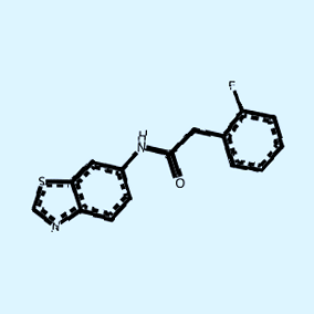 O=C(Cc1ccccc1F)Nc1ccc2ncsc2c1